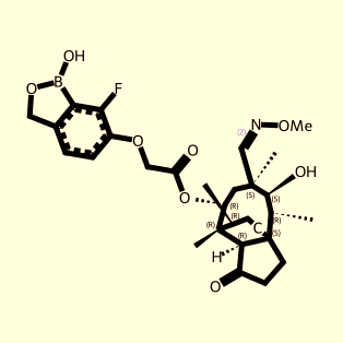 CO/N=C\[C@]1(C)C[C@@H](OC(=O)COc2ccc3c(c2F)B(O)OC3)[C@]2(C)[C@H](C)CC[C@]3(CCC(=O)[C@H]32)[C@@H](C)[C@@H]1O